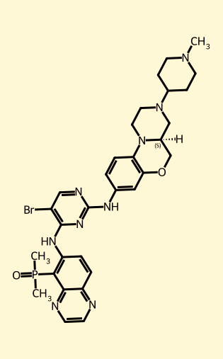 CN1CCC(N2CCN3c4ccc(Nc5ncc(Br)c(Nc6ccc7nccnc7c6P(C)(C)=O)n5)cc4OC[C@@H]3C2)CC1